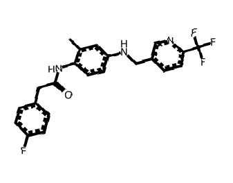 Cc1cc(NCc2ccc(C(F)(F)F)nc2)ccc1NC(=O)Cc1ccc(F)cc1